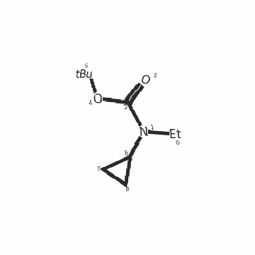 CCN(C(=O)OC(C)(C)C)C1CC1